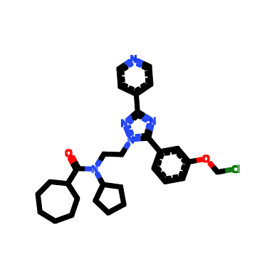 O=C(C1CCCCCC1)N(CCn1nc(-c2ccncc2)nc1-c1cccc(OCCl)c1)C1CCCC1